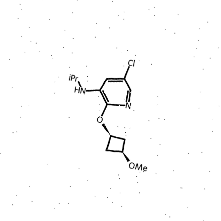 CO[C@H]1C[C@@H](Oc2ncc(Cl)cc2NC(C)C)C1